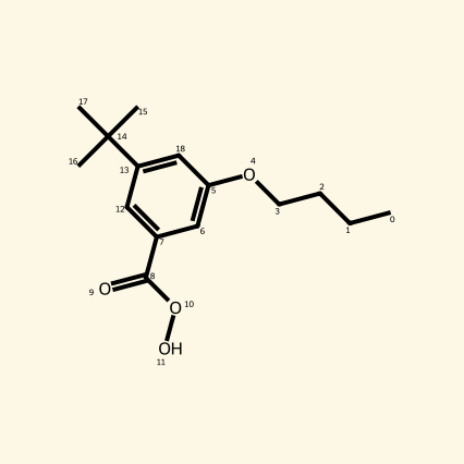 CCCCOc1cc(C(=O)OO)cc(C(C)(C)C)c1